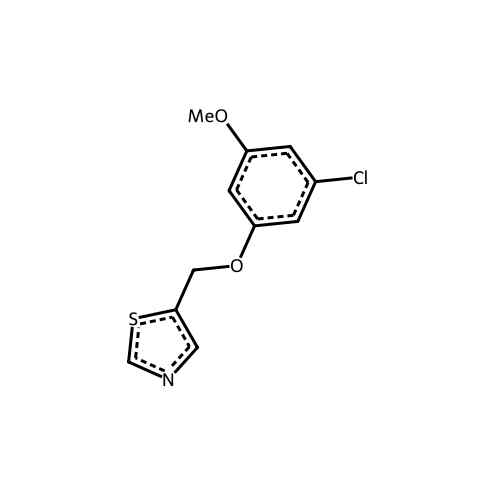 COc1cc(Cl)cc(OCc2cncs2)c1